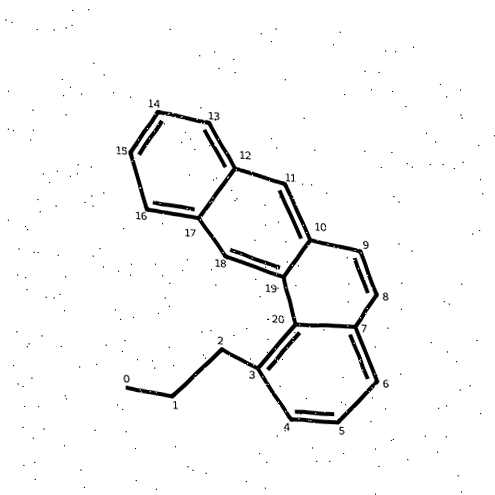 CCCc1cccc2ccc3cc4ccccc4cc3c12